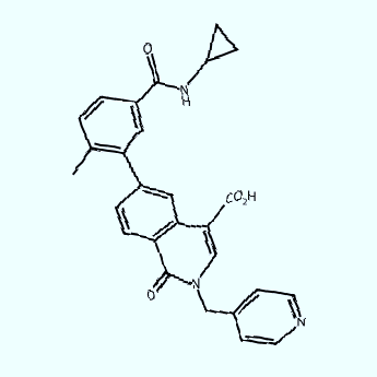 Cc1ccc(C(=O)NC2CC2)cc1-c1ccc2c(=O)n(Cc3ccncc3)cc(C(=O)O)c2c1